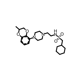 CC1COc2c(cccc2N2CCN(CCNS(=O)(=O)CC3CCCCC3)CC2)O1